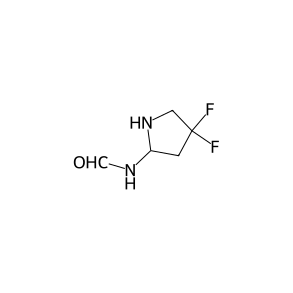 O=CNC1CC(F)(F)CN1